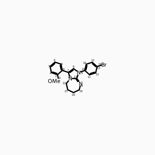 COc1ccccc1C1=CN(c2ccc(Br)cc2)C2=NCCCCN12